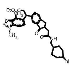 CCCC1CCC(CNC(=O)CC2Cc3ccc(C(CC(=O)OCC)c4ccc5c(nnn5C)c4C)cc3C2=O)CC1